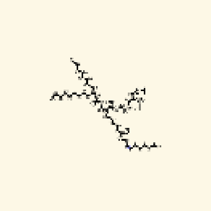 CCCCCC/C=C\COC(=O)CCCCCN(CCC(=O)OC(CCCCCCCC)CCCCCCCCC)C(=O)SCCN(C)CC(CS)NC